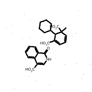 CC1(C(=O)O)C=CC=C(C(=O)O)C1C1CCCCC1.O=C(O)c1c[nH]c(=O)c2ccccc12